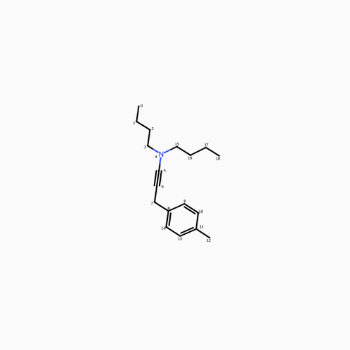 CCCCN(C#CCc1ccc(C)cc1)CCCC